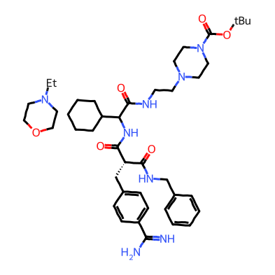 CC(C)(C)OC(=O)N1CCN(CCNC(=O)C(NC(=O)[C@@H](Cc2ccc(C(=N)N)cc2)C(=O)NCc2ccccc2)C2CCCCC2)CC1.CCN1CCOCC1